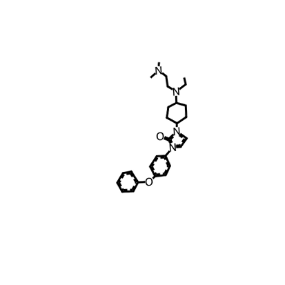 CCN(CCN(C)C)C1CCC(n2ccn(-c3ccc(Oc4ccccc4)cc3)c2=O)CC1